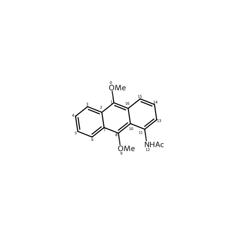 COc1c2ccccc2c(OC)c2c(NC(C)=O)cccc12